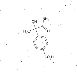 CC(O)(C(N)=O)c1ccc(C(=O)O)cc1